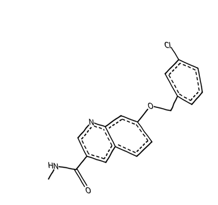 CNC(=O)c1cnc2cc(OCc3cccc(Cl)c3)ccc2c1